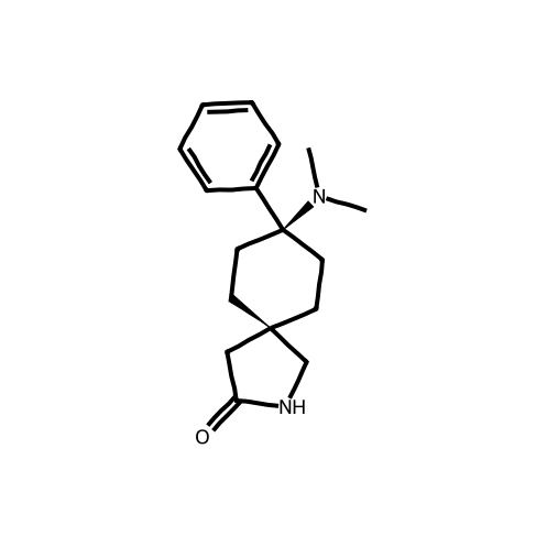 CN(C)[C@]1(c2ccccc2)CC[C@@]2(CC1)CNC(=O)C2